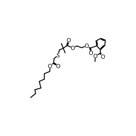 CCCCCCCCOC(=O)CSCC(C)(C)C(=O)OCCOC(=O)c1ccccc1C(=O)OC